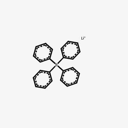 [Li+].c1ccc([B-](c2ccccc2)(c2ccccc2)c2ccccc2)cc1